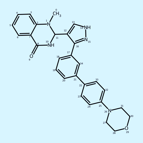 CN1c2ccccc2C(=O)NC1c1c[nH]nc1-c1cccc(-c2ccc(N3CCOCC3)cc2)c1